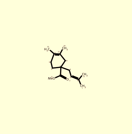 COC(=O)C1(CC=C(C)C)CCC(C)=C(C)C1